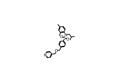 Cc1ccc(N(CC(C)C)S(=O)(=O)c2ccc(COCc3ccncc3)cc2)c(C)c1